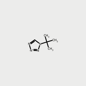 CC(C)(C)N1C=N[N+]=N1